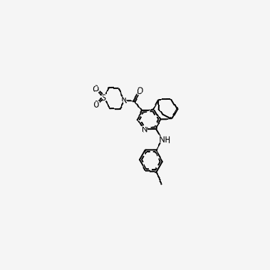 Cc1cccc(Nc2ncc(C(=O)N3CCS(=O)(=O)CC3)c3c2C2CCC3CC2)c1